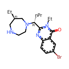 CCC[C@H](c1nc2ccc(Br)cc2c(=O)n1CC)N1CCNC[C@@H](CC)C1